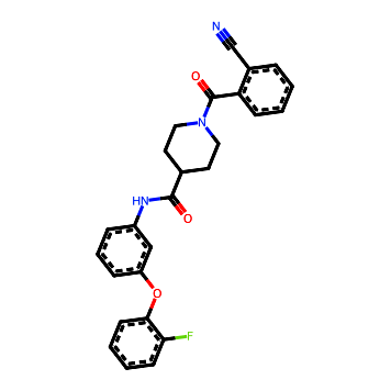 N#Cc1ccccc1C(=O)N1CCC(C(=O)Nc2cccc(Oc3ccccc3F)c2)CC1